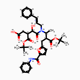 CC(C(Cc1ccc(C(=O)Nc2ccccc2)o1)C(=O)OC(C)(C)C)N(C/C=C/c1ccccc1)C(=O)C(O)C(CC(=O)O)C(=O)OC(C)(C)C